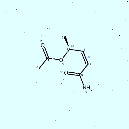 CC(=O)O[C@@H](C)/C=C\C(N)=O